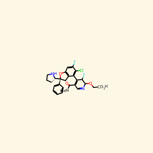 CNC(=O)C1=C(c2c(Cl)c(F)cc3c2C[C@](c2ccccc2)([C@@H]2CCCN2)O3)C(F)C(OCC(=O)O)N=C1